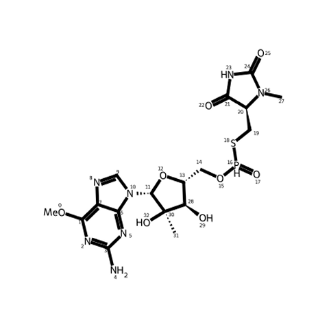 COc1nc(N)nc2c1ncn2[C@@H]1O[C@H](CO[PH](=O)SC[C@H]2C(=O)NC(=O)N2C)[C@@H](O)[C@@]1(C)O